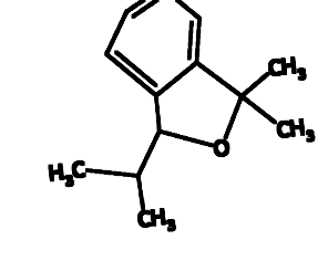 CC(C)C1OC(C)(C)c2ccccc21